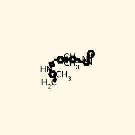 C=Cc1ccc(N[C@H]2C[C@@H](Cc3ccc(C(C)(C)c4ccc(CCc5ccnc(N6CCCCC6)n5)cc4)cc3)C2)cc1C